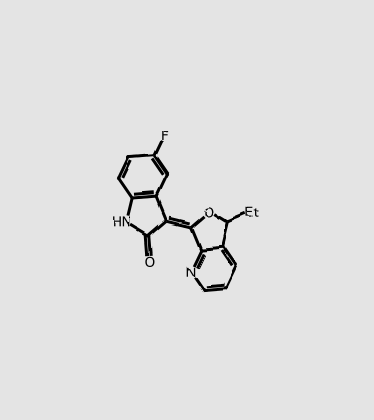 CCC1O/C(=C2/C(=O)Nc3ccc(F)cc32)c2ncccc21